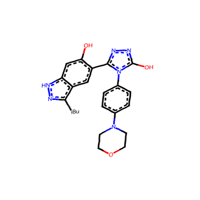 CCC(C)c1n[nH]c2cc(O)c(-c3nnc(O)n3-c3ccc(N4CCOCC4)cc3)cc12